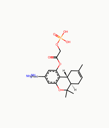 CCCCCc1cc(OC(=O)COP(=O)(O)O)c2c(c1)OC(C)(C)[C@@H]1CC=C(C)C[C@@H]21.N.N